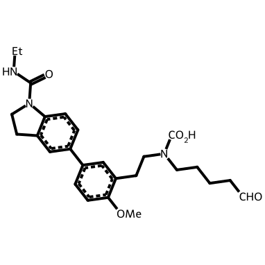 CCNC(=O)N1CCc2cc(-c3ccc(OC)c(CCN(CCCCC=O)C(=O)O)c3)ccc21